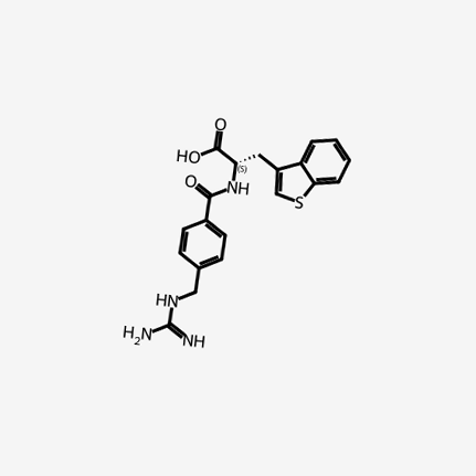 N=C(N)NCc1ccc(C(=O)N[C@@H](Cc2csc3ccccc23)C(=O)O)cc1